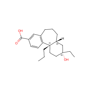 CCC[C@]12CC[C@](O)(CC)C[C@H]1CCCc1cc(C(=O)O)ccc12